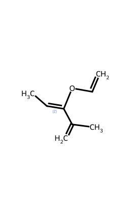 C=CO/C(=C\C)C(=C)C